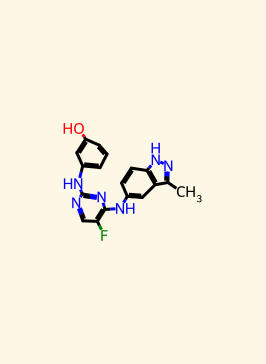 Cc1n[nH]c2ccc(Nc3nc(Nc4cccc(O)c4)ncc3F)cc12